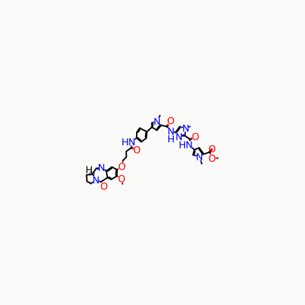 COC(=O)c1cc(NC(=O)c2nc(NC(=O)c3cc(-c4ccc(NC(=O)CCCOc5cc6c(cc5OC)C(=O)N5CCC[C@H]5C=N6)cc4)cn3C)cn2C)cn1C